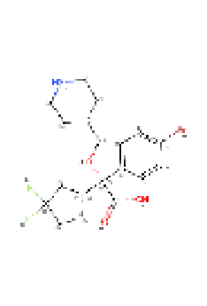 O=C(O)[C@](OCC1CCNCC1)(c1ccc(Br)cc1)[C@@H]1CCC(F)(F)C1